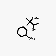 COC(C)(C)C(C)C(C)C.COC1CCCCC1